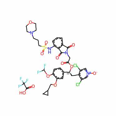 O=C(CN1C(=O)c2cccc(NS(=O)(=O)CCCN3CCOCC3)c2C1=O)O[C@@H](Cc1c(Cl)c[n+]([O-])cc1Cl)c1ccc(OC(F)F)c(OCC2CC2)c1.O=C(O)C(F)(F)F